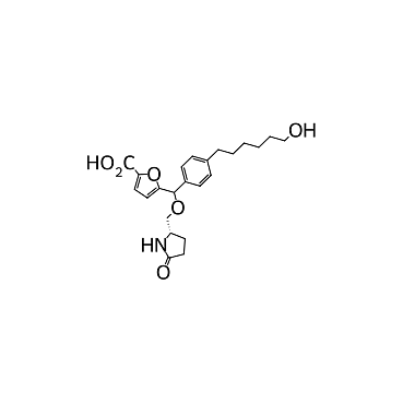 O=C1CC[C@@H](COC(c2ccc(CCCCCCO)cc2)c2ccc(C(=O)O)o2)N1